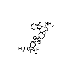 COc1ccc(S(=O)(=O)N2CCO[C@H](c3c(C(N)=O)sc4ccccc34)C2)cc1C(F)(F)F